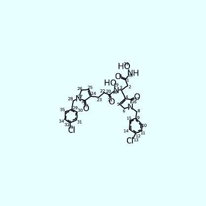 O=C(CC(C1=CCN(Cc2ccc(Cl)cc2)C1=O)N(O)C(=O)CCC1=CCN(Cc2ccc(Cl)cc2)C1=O)NO